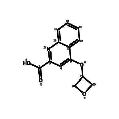 O=C(O)c1cc(OC2COC2)c2ccccc2n1